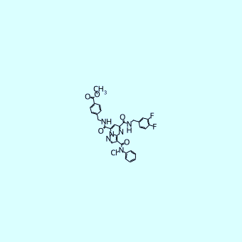 COC(=O)c1ccc(CNC(=O)c2cc(C(=O)NCc3ccc(F)c(F)c3)nc3c(C(=O)N(Cl)c4ccccc4)cnn23)cc1